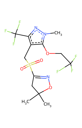 Cn1nc(C(F)(F)F)c(CS(=O)(=O)C2=NOC(C)(C)C2)c1OCC(F)(F)F